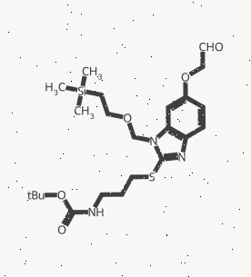 CC(C)(C)OC(=O)NCCCSc1nc2ccc(OCC=O)cc2n1COCC[Si](C)(C)C